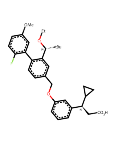 CCO[C@@H](c1cc(COc2cccc([C@H](CC(=O)O)C3CC3)c2)ccc1-c1cc(OC)ccc1F)C(C)(C)C